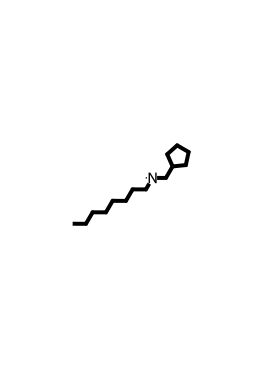 CCCCCCCC[N]CC1CCCC1